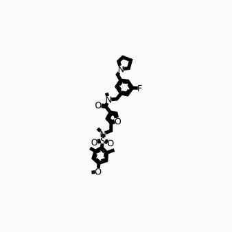 COc1cc(C)c(S(=O)(=O)N(C)Cc2cc(C(=O)N(C)Cc3cc(F)cc(CN4CCCC4)c3)co2)c(C)c1